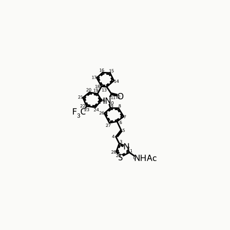 CC(=O)Nc1nc(C=Cc2ccc(NC(=O)c3ccccc3-c3ccc(C(F)(F)F)cc3)cc2)cs1